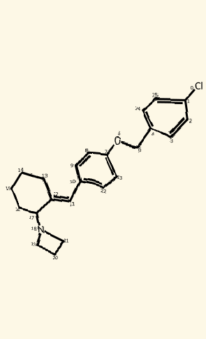 Clc1ccc(COc2ccc(/C=C3\CCCCC3N3CCC3)cc2)cc1